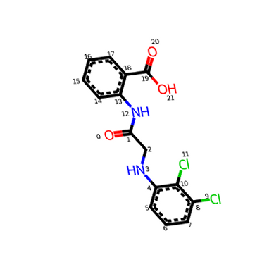 O=C(CNc1cccc(Cl)c1Cl)Nc1ccccc1C(=O)O